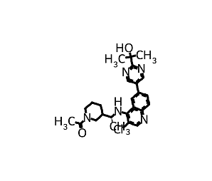 CC(=O)N1CCCC([C@@H](C)Nc2c(Cl)cnc3ccc(-c4cnc(C(C)(C)O)nc4)cc23)C1